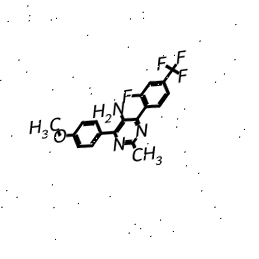 COc1ccc(-c2nc(C)nc(-c3ccc(C(F)(F)F)cc3F)c2N)cc1